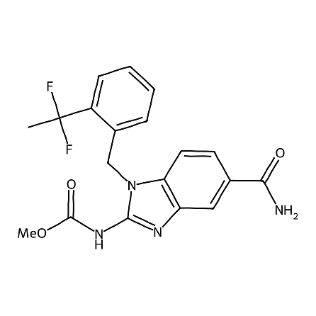 COC(=O)Nc1nc2cc(C(N)=O)ccc2n1Cc1ccccc1C(C)(F)F